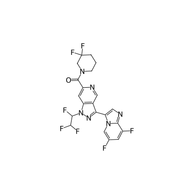 O=C(c1cc2c(cn1)c(-c1cnc3c(F)cc(F)cn13)nn2C(F)C(F)F)N1CCCC(F)(F)C1